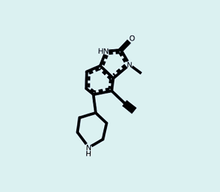 C#Cc1c(C2CCNCC2)ccc2[nH]c(=O)n(C)c12